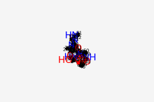 C=C[C@@H]1C[C@]1(NC(=O)[C@@H]1C[C@@H](Oc2cc(-c3csc(NC(C)C)n3)nc3c(CC)cccc23)CN1C(=O)[C@@H](NC(=O)OC1CCCC1)C(C)(C)C)C(=O)O